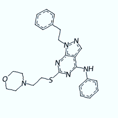 c1ccc(CCn2ncc3c(Nc4ccccc4)nc(SCCN4CCOCC4)nc32)cc1